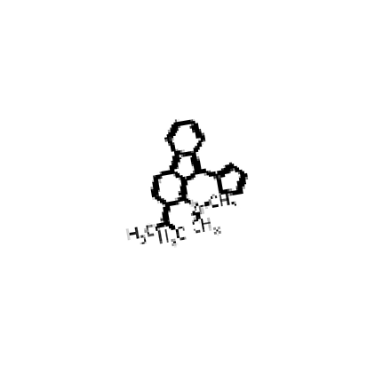 CC(C)=c1ccc2c([c]1[Zr]([CH3])[CH3])C(C1=CC=CC1)=c1ccccc1=2